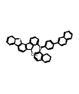 C[C@H]1c2ccc3c(c2-c2cccc(N(c4ccc(-c5ccc6ccccc6c5)cc4)c4cccc5c4CCC=C5)c21)SC1CC=CC=C31